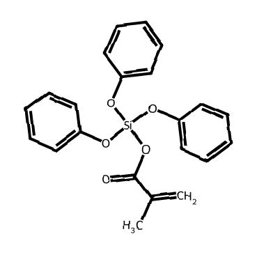 C=C(C)C(=O)O[Si](Oc1ccccc1)(Oc1ccccc1)Oc1ccccc1